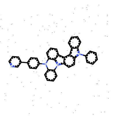 c1ccc(-n2c3ccccc3c3c4c5cccc6c5n(c4ccc32)-c2ccccc2N6c2ccc(-c3cccnc3)cc2)cc1